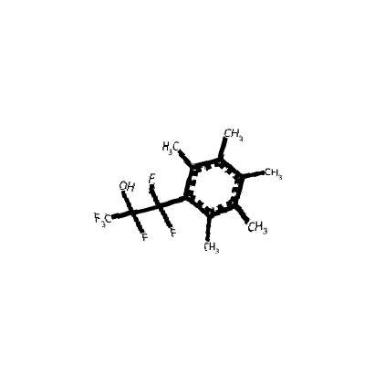 Cc1c(C)c(C)c(C(F)(F)C(O)(F)C(F)(F)F)c(C)c1C